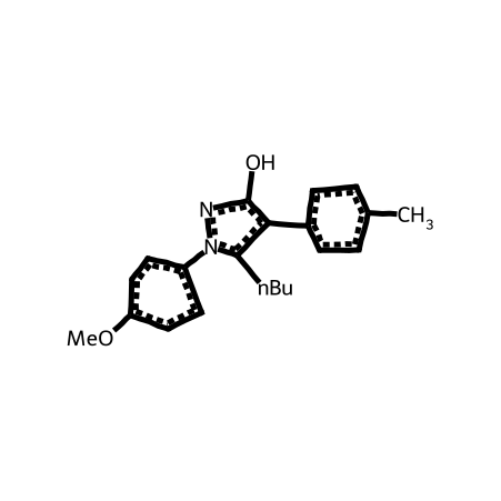 CCCCc1c(-c2ccc(C)cc2)c(O)nn1-c1ccc(OC)cc1